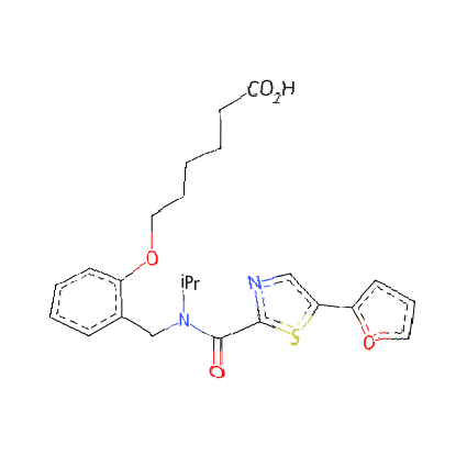 CC(C)N(Cc1ccccc1OCCCCCC(=O)O)C(=O)c1ncc(-c2ccco2)s1